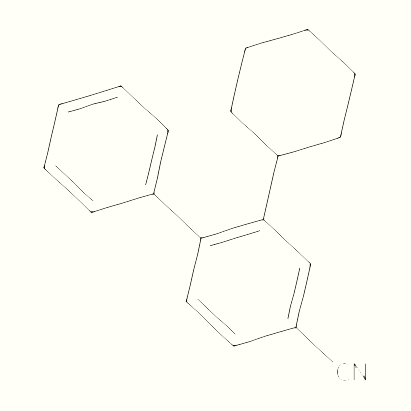 N#Cc1ccc(-c2ccccc2)c(C2CCCCC2)c1